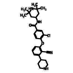 CC1(C)CC(NC(=O)c2ccc(Oc3cccc(C4CCNCC4)c3C#N)c(Cl)c2)CC(C)(C)N1